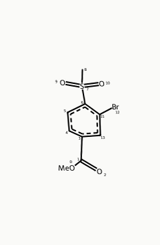 COC(=O)c1ccc(S(C)(=O)=O)c(Br)c1